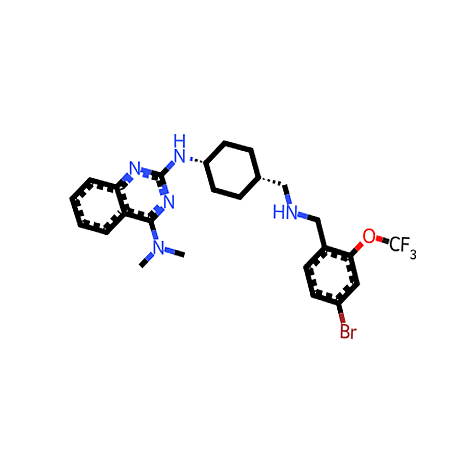 CN(C)c1nc(N[C@H]2CC[C@@H](CNCc3ccc(Br)cc3OC(F)(F)F)CC2)nc2ccccc12